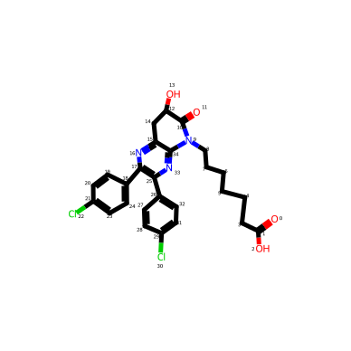 O=C(O)CCCCCCN1C(=O)C(O)Cc2nc(-c3ccc(Cl)cc3)c(-c3ccc(Cl)cc3)nc21